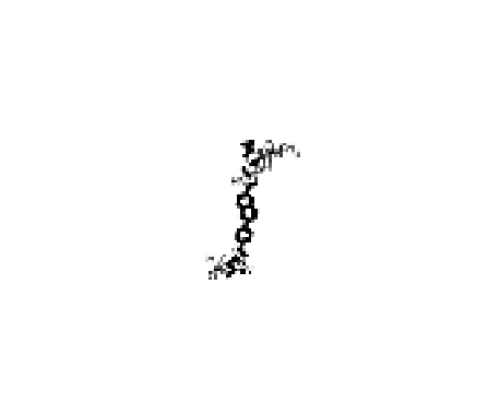 COC(=O)NCC(=O)N(Cc1ncc(-c2ccc3cc(-c4ccc(-c5cnc(C6(C)[C@H](C#N)CN6C=O)[nH]5)cc4)ccc3c2)[nH]1)CC1(P)CC1